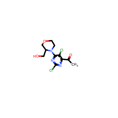 CC(=O)c1nc(Cl)nc(N2CCOCC2CO)c1Cl